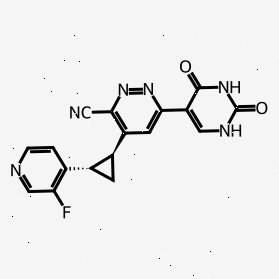 N#Cc1nnc(-c2c[nH]c(=O)[nH]c2=O)cc1[C@H]1C[C@@H]1c1ccncc1F